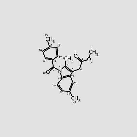 COC(=O)Cc1c(C)n(C(=O)c2ccc(C)cc2)c2ccc(C)cc12